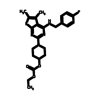 CCOC(=O)OC1CCN(c2nc(NCc3ccc(F)cc3)c3c(C)c(C)sc3n2)CC1